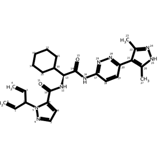 C=CC(C=C)n1nccc1C(=O)N[C@H](C(=O)Nc1ccc(-c2c(C)n[nH]c2C)nn1)C1CCCCC1